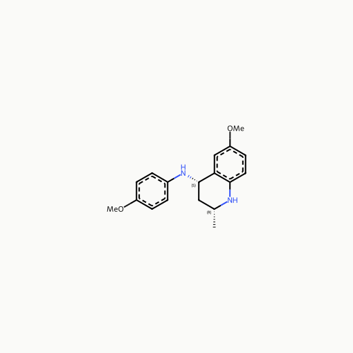 COc1ccc(N[C@H]2C[C@@H](C)Nc3ccc(OC)cc32)cc1